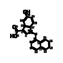 O=C(O)c1cn(Cc2cccc3ccccc23)c2ccc(O)cc12